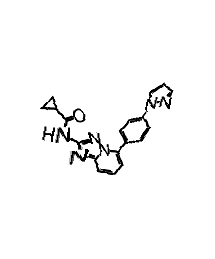 O=C(Nc1nc2cccc(-c3ccc(-n4cccn4)cc3)n2n1)C1CC1